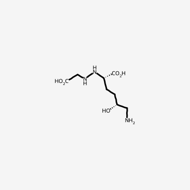 NC[C@H](O)CC[C@H](NNCC(=O)O)C(=O)O